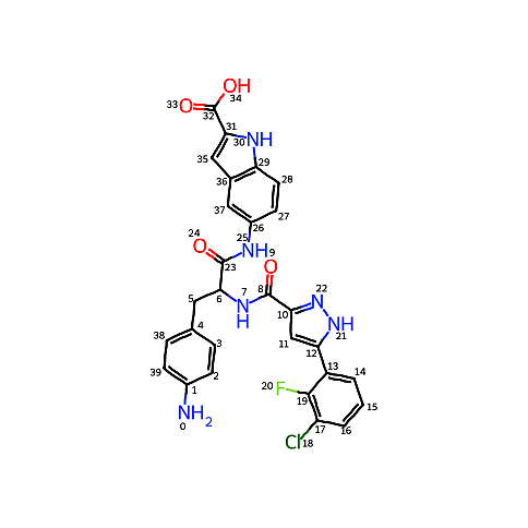 Nc1ccc(CC(NC(=O)c2cc(-c3cccc(Cl)c3F)[nH]n2)C(=O)Nc2ccc3[nH]c(C(=O)O)cc3c2)cc1